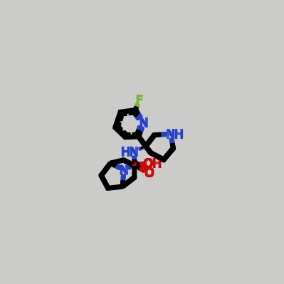 O=C(N[C@@]1(c2cccc(F)n2)CCCNC1)N1C2CCC1CC(O)C2